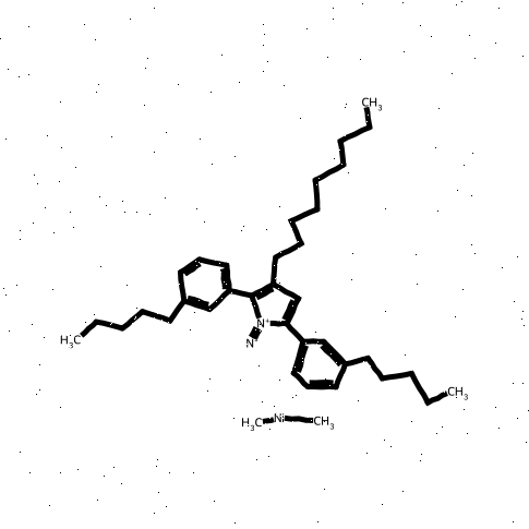 CCCCCCCCCC1=C(c2cccc(CCCCC)c2)[N+](=[N-])C(c2cccc(CCCCC)c2)=C1.[CH3][Ni][CH3]